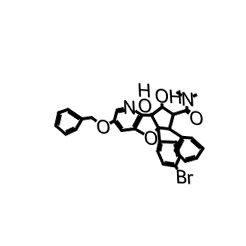 CN(C)C(=O)C1C(O)C2(O)c3ncc(OCc4ccccc4)cc3OC2(c2ccc(Br)cc2)C1c1ccccc1